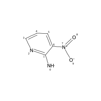 [NH]c1ncccc1[N+](=O)[O-]